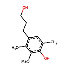 COc1c(C)c(CCCO)cc(C)c1O